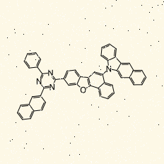 c1ccc(-c2nc(-c3ccc4ccccc4c3)nc(-c3ccc4c(c3)oc3c5ccccc5c(-n5c6ccccc6c6cc7ccccc7cc65)cc43)n2)cc1